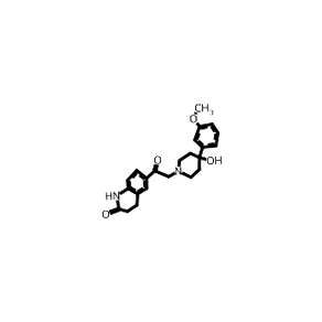 COc1cccc(C2(O)CCN(CC(=O)c3ccc4c(c3)CCC(=O)N4)CC2)c1